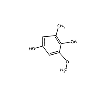 COc1cc(O)cc(C)c1O